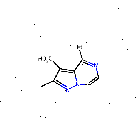 CCc1nccn2nc(C)c(C(=O)O)c12